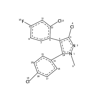 Cn1nc(Cl)c(-c2ccc(F)cc2Cl)c1-c1ccc(Cl)cc1